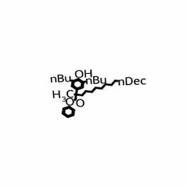 CCCCCCCCCCCCCCCCCCC(C)(C(=O)Oc1ccccc1)c1cc(CCCC)c(O)c(CCCC)c1